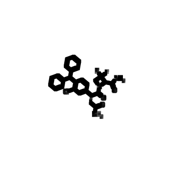 NC(=O)C[C@@H](C(=O)N1CC(F)(F)C1C(N)=O)c1ccc([C](c2ccccc2)c2ccccc2)c(Cl)c1